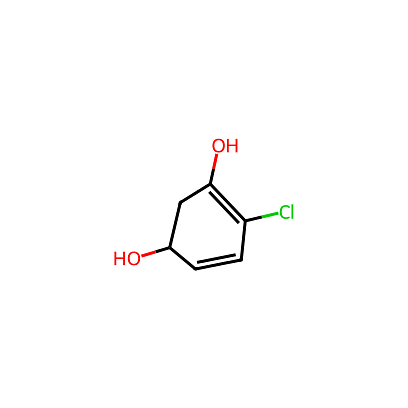 OC1=C(Cl)C=CC(O)C1